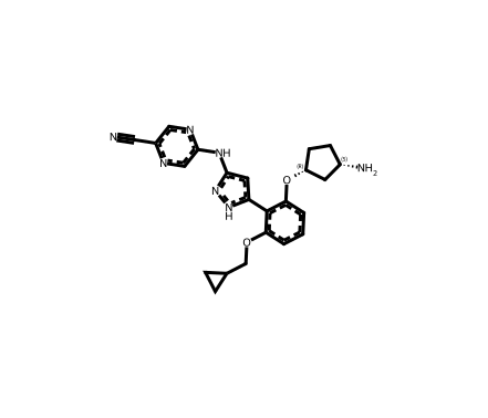 N#Cc1cnc(Nc2cc(-c3c(OCC4CC4)cccc3O[C@@H]3CC[C@H](N)C3)[nH]n2)cn1